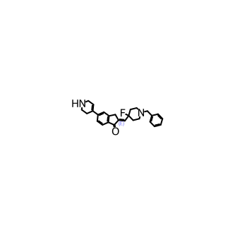 O=C1/C(=C/C2(F)CCN(Cc3ccccc3)CC2)Cc2cc(C3=CCNCC3)ccc21